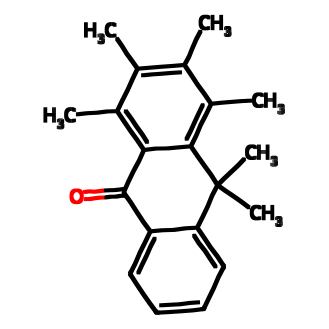 Cc1c(C)c(C)c2c(c1C)C(=O)c1ccccc1C2(C)C